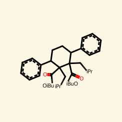 CC(C)COC(=O)C1(CC(C)C)C(c2ccccc2)CCC(c2ccccc2)C1(CC(C)C)C(=O)OCC(C)C